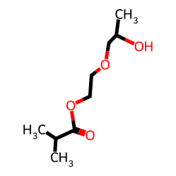 CC(O)COCCOC(=O)C(C)C